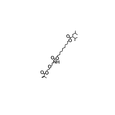 C=C(C)C(=O)OCCOCCNC(=O)OCCCCCCCCCOC(=O)C(CC(C)C)C(C)C